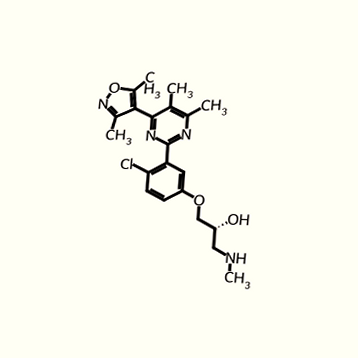 CNC[C@@H](O)COc1ccc(Cl)c(-c2nc(C)c(C)c(-c3c(C)noc3C)n2)c1